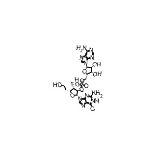 Nc1nc2c(ncn2[C@@H]2O[C@H](CCO)[C@H](F)[C@H]2OP(=O)(O)OC[C@H]2O[C@@H](n3cnc4c(N)ncnc43)[C@H](O)[C@@H]2O)c(=O)[nH]1